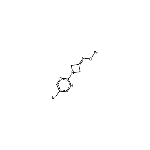 CCON=C1CN(c2ncc(Br)cn2)C1